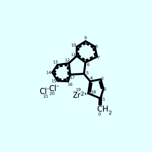 C=C1C=CC(C2c3ccccc3-c3ccccc32)=[C]1[Zr+2].[Cl-].[Cl-]